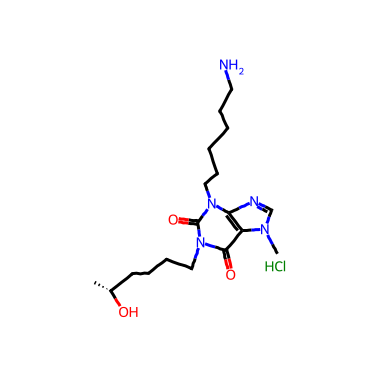 C[C@@H](O)CCCCn1c(=O)c2c(ncn2C)n(CCCCCCN)c1=O.Cl